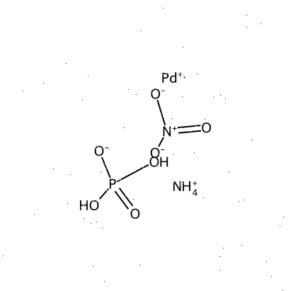 O=P([O-])(O)O.O=[N+]([O-])[O-].[NH4+].[Pd+]